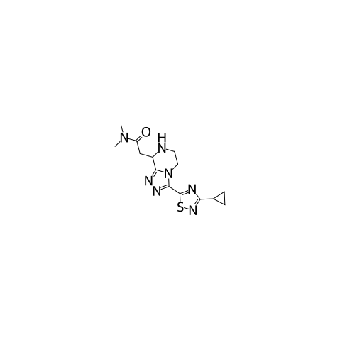 CN(C)C(=O)CC1NCCn2c(-c3nc(C4CC4)ns3)nnc21